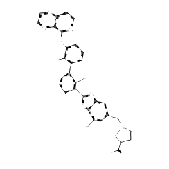 Cc1c(Nc2nccc3nccnc23)cccc1-c1cccc(-c2nc3cc(CN4CCC(C(=O)O)C4)cc(Cl)c3o2)c1C